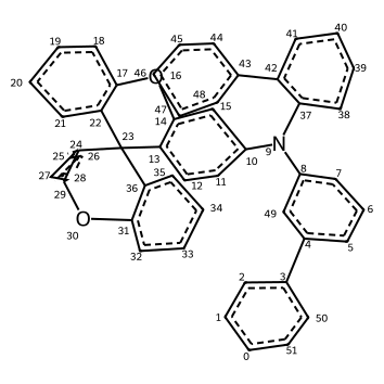 c1ccc(-c2cccc(N(c3ccc4c(c3)Oc3ccccc3C43c4ccccc4Oc4ccccc43)c3ccccc3-c3ccccc3)c2)cc1